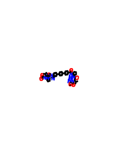 COC(=O)N[C@H](C(=O)N[C@@H]1CCC[C@H]1NC(=O)c1ccc(-c2ccc(-c3ccc4[nH]c([C@@H]5CCCN5C(=O)[C@@H](NC(=O)OC)C(C)C)nc4c3)cc2)cc1)C(C)C